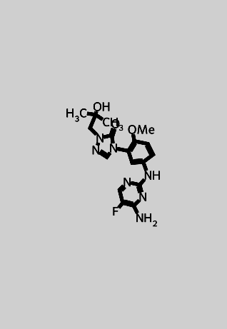 COc1ccc(Nc2ncc(F)c(N)n2)cc1-n1cnn(CC(C)(C)O)c1=O